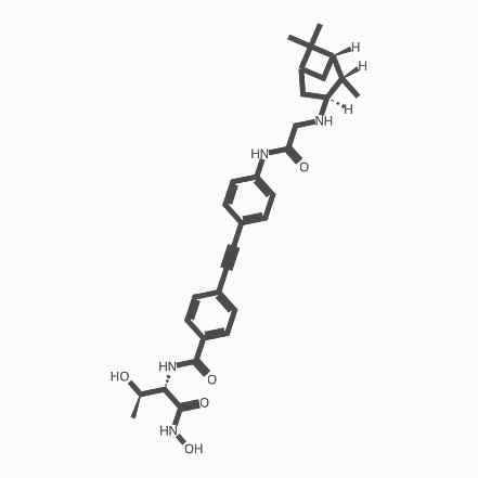 C[C@@H]1[C@@H](NCC(=O)Nc2ccc(C#Cc3ccc(C(=O)N[C@H](C(=O)NO)[C@@H](C)O)cc3)cc2)CC2C[C@@H]1C2(C)C